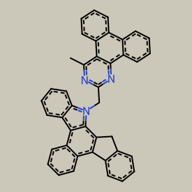 Cc1nc(Cn2c3ccccc3c3c4ccccc4c4c(c32)Cc2ccccc2-4)nc2c3ccccc3c3ccccc3c12